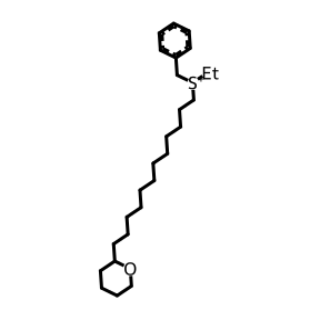 CC[S+](CCCCCCCCCCCCC1CCCCO1)Cc1ccccc1